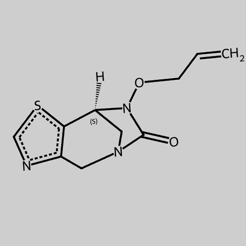 C=CCON1C(=O)N2Cc3ncsc3[C@@H]1C2